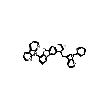 C/C=C\C(Cc1cn(-c2ccccc2)c2ncccc12)c1ccc2oc3c(-n4c5ncccc5c5cccnc54)cccc3c2c1